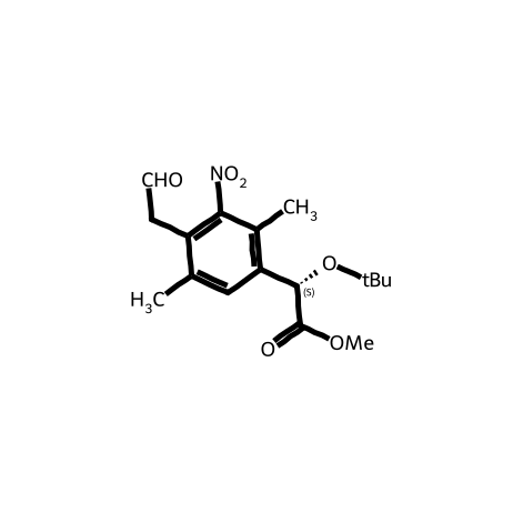 COC(=O)[C@@H](OC(C)(C)C)c1cc(C)c(CC=O)c([N+](=O)[O-])c1C